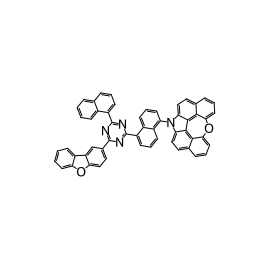 c1ccc2c(-c3nc(-c4ccc5oc6ccccc6c5c4)nc(-c4cccc5c(-n6c7ccc8cccc9oc%10cccc%11ccc6c(c%11%10)c7c89)cccc45)n3)cccc2c1